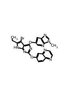 CCc1[nH]c2nc(Oc3ccc4nccnc4c3)nc(Oc3cnc4c(c3)ncn4C)c2c1Br